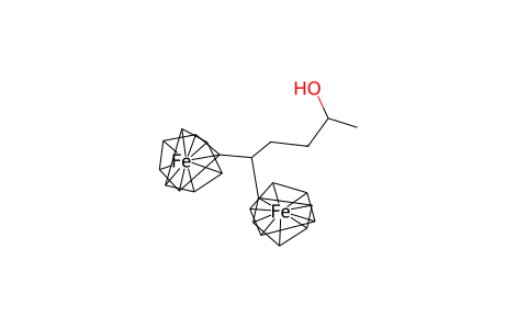 CC(O)CCC([C]12[CH]3[CH]4[CH]5[CH]1[Fe]45321678[CH]2[CH]1[CH]6[CH]7[CH]28)[C]12[CH]3[CH]4[CH]5[CH]1[Fe]45321678[CH]2[CH]1[CH]6[CH]7[CH]28